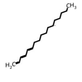 C=C/C=C/C=C/CCCCC[CH]CCCCC